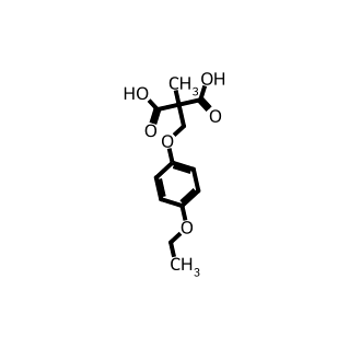 CCOc1ccc(OCC(C)(C(=O)O)C(=O)O)cc1